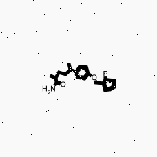 CC(CCC(C)c1ccc(OCc2ccccc2F)cc1)C(N)=O